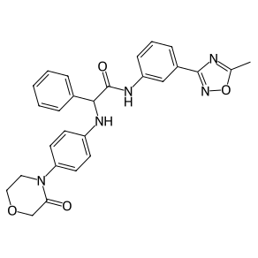 Cc1nc(-c2cccc(NC(=O)C(Nc3ccc(N4CCOCC4=O)cc3)c3ccccc3)c2)no1